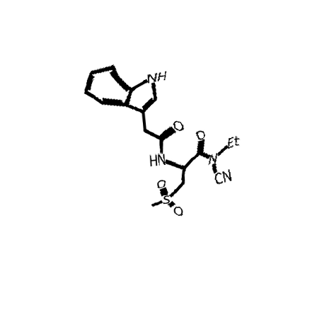 CCN(C#N)C(=O)C(CS(C)(=O)=O)NC(=O)Cc1c[nH]c2ccccc12